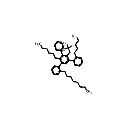 CCCCCCCCc1ccccc1-c1cc(-c2ccc[c]c2CCCCC)c(CC(C)(C)C)c(-c2ccccc2)c1CCCCCC